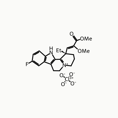 CC[C@@]1(/C=C(\OC)C(=O)OC)CCC[N+]2=C1c1[nH]c3ccc(F)cc3c1CC2.[O-][Cl+3]([O-])([O-])[O-]